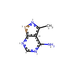 Cc1nsc2ncnc(N)c12